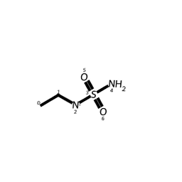 CC[N]S(N)(=O)=O